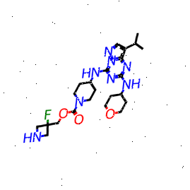 CC(C)c1cnn2c(NC3CCN(C(=O)OCC4(F)CNC4)CC3)nc(NC3CCOCC3)nc12